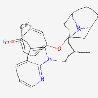 CC(CN1C2CCC1CC(Oc1ccc(F)cc1)C2)Cn1cc(C(=O)C(F)(F)F)c2cccnc21